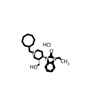 CCn1c(=O)n([C@@H]2CCN(CC3CCCCCCC3)C[C@H]2CO)c2ccccc21.Cl